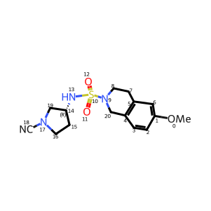 COc1ccc2c(c1)CCN(S(=O)(=O)N[C@@H]1CCN(C#N)C1)C2